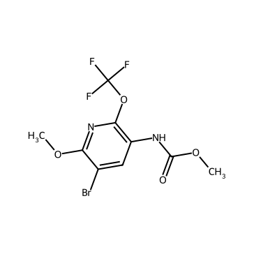 COC(=O)Nc1cc(Br)c(OC)nc1OC(F)(F)F